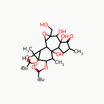 CCC(C)C(=O)OC1C(C)C2(O)C(C3OC3(CO)C(O)C3(O)C(=O)C(C)CC32)C2C(C)(C)C12OC(=O)C(C)CC